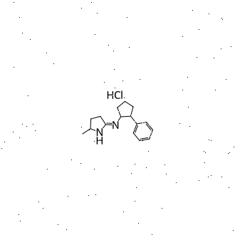 CC1CC/C(=N\C2CCCC2c2ccccc2)N1.Cl